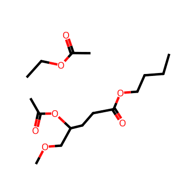 CCCCOC(=O)CCC(COC)OC(C)=O.CCOC(C)=O